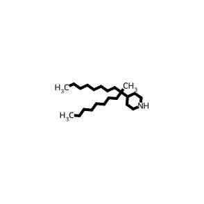 CCCCCCCCC(C)(CCCCCCCC)C1CCNCC1